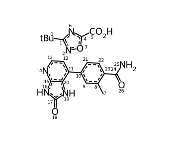 CC(C)(C)c1noc(C(=O)O)n1.Cc1cc(-c2ccnc3[nH]c(=O)[nH]c23)ccc1C(N)=O